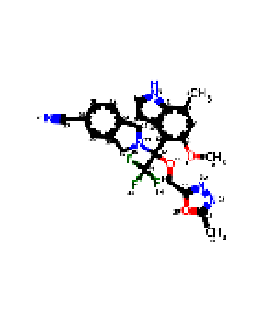 COc1cc(C)c2[nH]ccc2c1C(OCc1nnc(C)o1)(N1Cc2ccc(C#N)cc2C1)C(F)(F)F